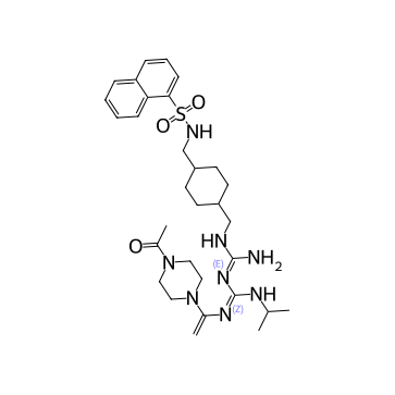 C=C(/N=C(\N=C(/N)NCC1CCC(CNS(=O)(=O)c2cccc3ccccc23)CC1)NC(C)C)N1CCN(C(C)=O)CC1